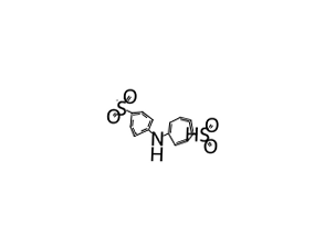 CS(=O)(=O)c1ccc(NC2=CC=C=C([SH](=O)=O)C=C2)cc1